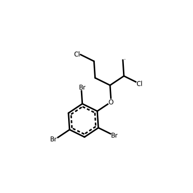 [CH2]C(Cl)C(CCCl)Oc1c(Br)cc(Br)cc1Br